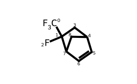 FC(F)(F)C1(F)CC2C=CC1C2